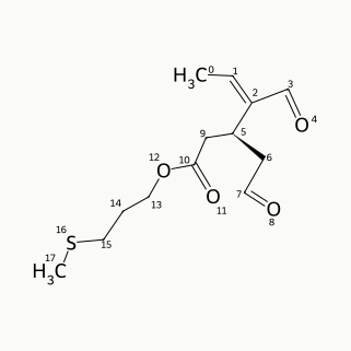 C/C=C(/C=O)[C@@H](CC=O)CC(=O)OCCCSC